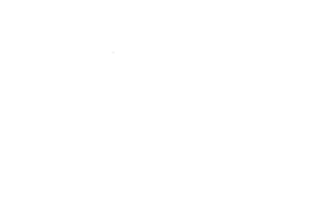 C[C@@H](OS(C)(=O)=O)c1c(Cl)ccc(F)c1Cl